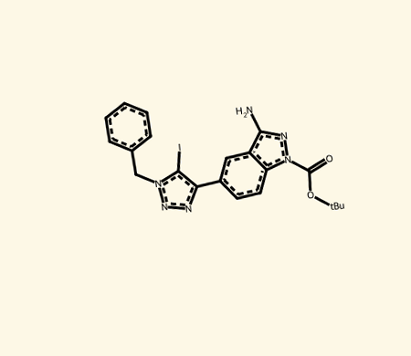 CC(C)(C)OC(=O)n1nc(N)c2cc(-c3nnn(Cc4ccccc4)c3I)ccc21